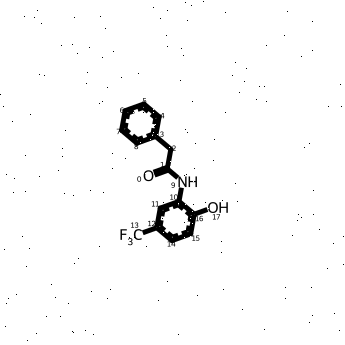 O=C(Cc1ccccc1)Nc1cc(C(F)(F)F)ccc1O